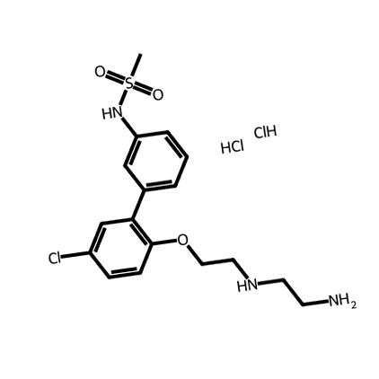 CS(=O)(=O)Nc1cccc(-c2cc(Cl)ccc2OCCNCCN)c1.Cl.Cl